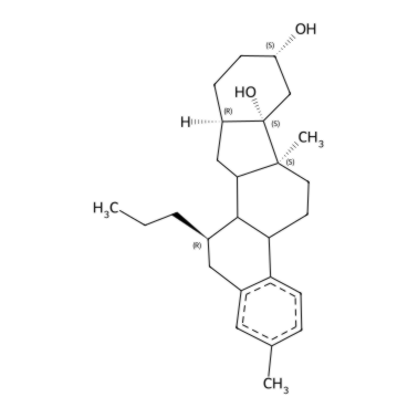 CCC[C@@H]1Cc2cc(C)ccc2C2CC[C@@]3(C)C(C[C@H]4CC[C@H](O)C[C@]43O)C21